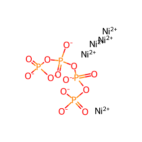 O=P([O-])([O-])OP(=O)([O-])OP(=O)([O-])OP(=O)([O-])[O-].[Ni+2].[Ni+2].[Ni+2].[Ni+2].[Ni+2]